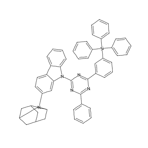 c1ccc(-c2nc(-c3cccc([Si](c4ccccc4)(c4ccccc4)c4ccccc4)c3)nc(-n3c4ccccc4c4ccc(N5C6CC7CC(C6)CC5C7)cc43)n2)cc1